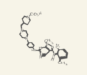 Cc1cccc(C)c1Nc1nn(C)c2nc(Nc3ccc(N4CCN(CC5CCN(C(=O)O)CC5)CC4)cc3)ncc12